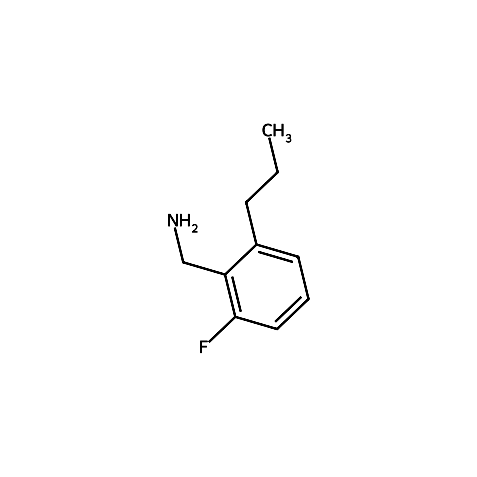 CCCc1cccc(F)c1CN